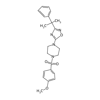 COc1ccc(S(=O)(=O)N2CCN(c3nc(C(C)(C)c4ccccc4)no3)CC2)cc1